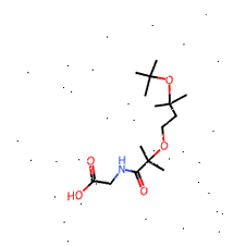 CC(C)(C)OC(C)(C)CCOC(C)(C)C(=O)NCC(=O)O